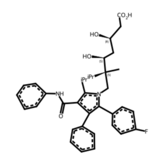 CC(C)c1c(C(=O)Nc2ccccc2)c(-c2ccccc2)c(-c2ccc(F)cc2)n1C[C@](C)(C(C)C)[C@@H](O)C[C@@H](O)CC(=O)O